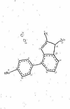 CCC1=Cc2c(-c3ccc(C(C)(C)C)cc3)cccc2[CH]1[Zr+2].[Cl-].[Cl-]